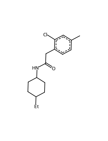 CCC1CCC(NC(=O)Cc2ccc(C)cc2Cl)CC1